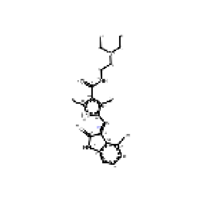 CCN(CC)CCNC(=O)c1c(C)[nH]c(/C=C2\C(=O)Nc3cccc(I)c32)c1C